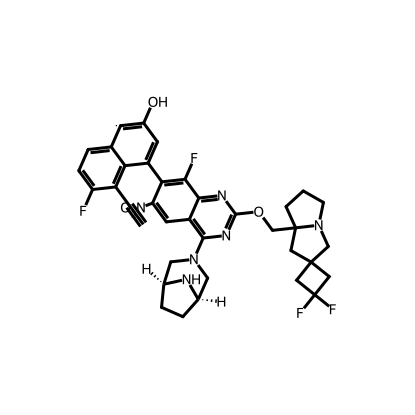 C#Cc1c(F)ccc2[c]c(O)cc(-c3c([N+](=O)[O-])cc4c(N5C[C@H]6CC[C@@H](C5)N6)nc(OCC56CCCN5CC5(CC(F)(F)C5)C6)nc4c3F)c12